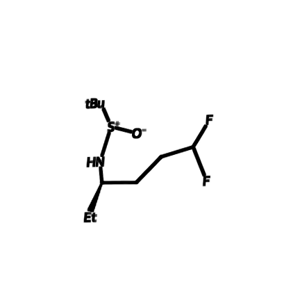 CC[C@H](CCC(F)F)N[S+]([O-])C(C)(C)C